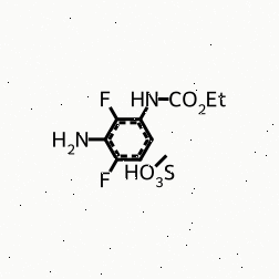 CCOC(=O)Nc1ccc(F)c(N)c1F.CS(=O)(=O)O